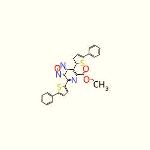 CCOC(=O)c1nc(-c2ccc(-c3ccccc3)s2)c2nonc2c1C1CC=C(c2ccccc2)S1